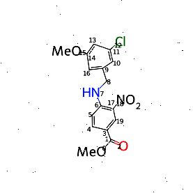 COC(=O)c1ccc(NCc2cc(Cl)cc(OC)c2)c([N+](=O)[O-])c1